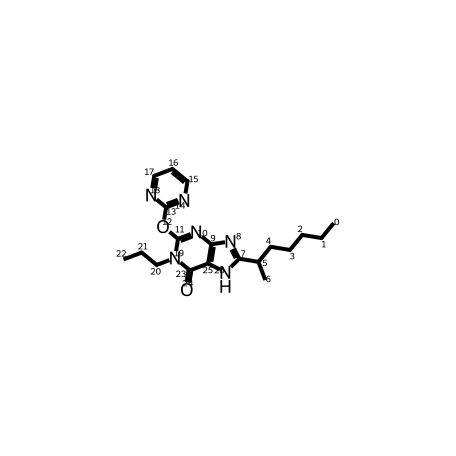 CCCCCC(C)c1nc2nc(Oc3ncccn3)n(CCC)c(=O)c2[nH]1